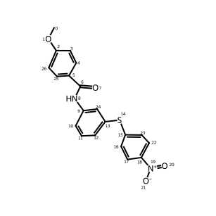 COc1ccc(C(=O)Nc2cccc(Sc3ccc([N+](=O)[O-])cc3)c2)cc1